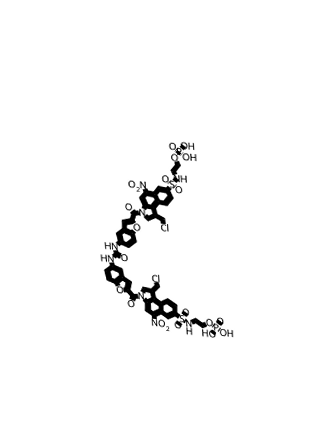 O=C(Nc1ccc2oc(C(=O)N3CC(CCl)c4c3cc([N+](=O)[O-])c3cc(S(=O)(=O)NCCOP(=O)(O)O)ccc43)cc2c1)Nc1ccc2oc(C(=O)N3CC(CCl)c4c3cc([N+](=O)[O-])c3cc(S(=O)(=O)NCCOP(=O)(O)O)ccc43)cc2c1